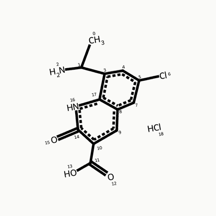 CC(N)c1cc(Cl)cc2cc(C(=O)O)c(=O)[nH]c12.Cl